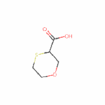 O=C(O)C1COCCS1